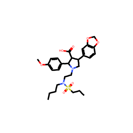 CCCCN(CCN1CC(c2ccc3c(c2)OCO3)C(C(=O)O)C1c1ccc(OC)cc1)S(=O)(=O)CCC